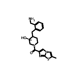 Cc1cn2cc(C(=O)N3CCC(Cc4ccccc4CN)[C@H](O)C3)nc2s1